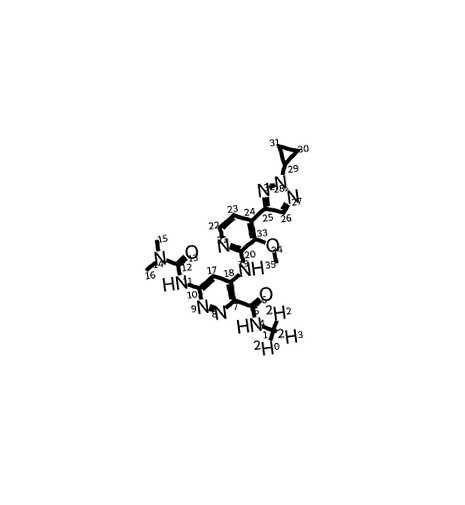 [2H]C([2H])([2H])NC(=O)c1nnc(NC(=O)N(C)C)cc1Nc1nccc(-c2cnn(C3CC3)n2)c1OC